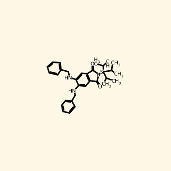 CC(C)[Si](C(C)C)(C(C)C)N1C(=O)c2cc(NCc3ccccc3)c(NCc3ccccc3)cc2C1=O